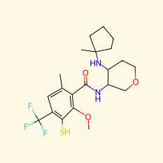 COc1c(S)c(C(F)(F)F)cc(C)c1C(=O)NC1COCCC1NC1(C)CCCC1